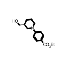 CCOC(=O)c1ccc(N2CCC[C@H](CO)C2)cc1